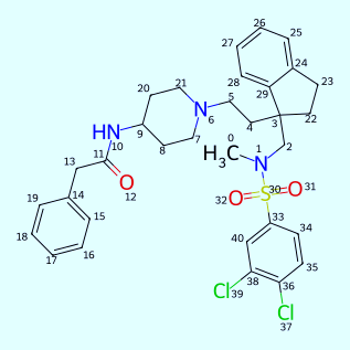 CN(CC1(CCN2CCC(NC(=O)Cc3ccccc3)CC2)CCc2ccccc21)S(=O)(=O)c1ccc(Cl)c(Cl)c1